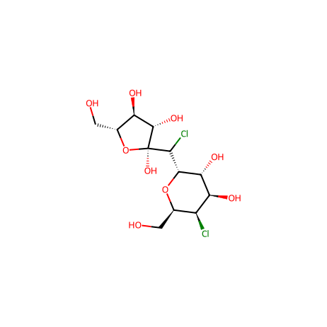 OC[C@H]1O[C@](O)(C(Cl)[C@H]2O[C@H](CO)[C@H](Cl)[C@H](O)[C@H]2O)[C@@H](O)[C@@H]1O